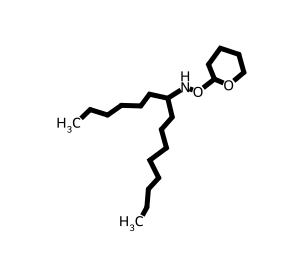 CCCCCCCCC(CCCCCC)NOC1CCCCO1